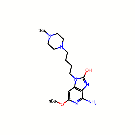 CCCCOc1cc2c(nc(O)n2CCCCN2CCN(C(C)(C)C)CC2)c(N)n1